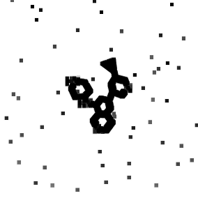 C1=C(c2cncc(C3CC3)c2)CC(NC2CCNCC2)c2cnccc21